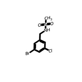 CS(=O)(=O)NCc1cc(Cl)cc(Br)c1